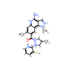 Cc1cc2nc(N)c3cnn(C)c3c2cc1C(=O)N1CC(C(F)(F)F)CN1c1ncccc1F